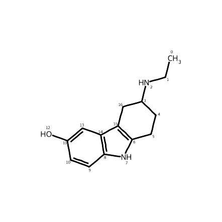 CCNC1CCc2[nH]c3ccc(O)cc3c2C1